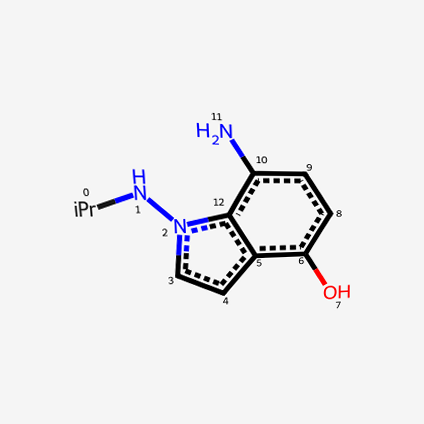 CC(C)Nn1ccc2c(O)ccc(N)c21